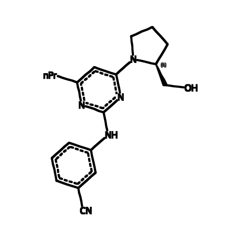 CCCc1cc(N2CCC[C@H]2CO)nc(Nc2cccc(C#N)c2)n1